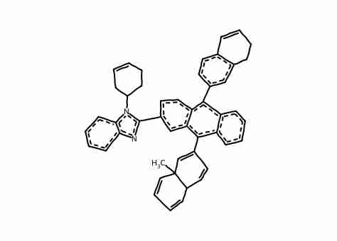 CC12C=CC=CC1C=CC(c1c3ccccc3c(-c3ccc4c(c3)CCC=C4)c3ccc(-c4nc5ccccc5n4C4CC=CCC4)cc13)=C2